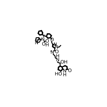 CCn1nc(COc2cccc([C@H](c3ccccc3)N(C(=O)O)C3CN4CCC3CC4)c2)cc1C(=O)N(C)CCCNCC(O)c1ccc(O)c2[nH]c(=O)ccc12